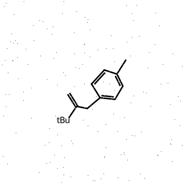 C=C(Cc1ccc(C)cc1)C(C)(C)C